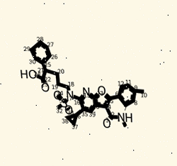 CNC(=O)c1c(-c2ccc(C)cc2)oc2nc(N(CCCC(C(=O)O)c3ccccc3)S(C)(=O)=O)c(C3CC3)cc12